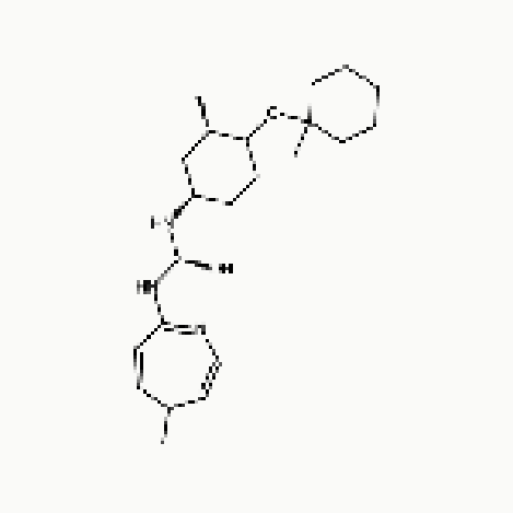 CC1C=CN=C(N[C@H](O)N[C@@H]2CCC(OC3(C)CCCCC3)[C@H](C)C2)C=C1